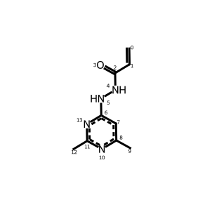 C=CC(=O)NNc1cc(C)nc(C)n1